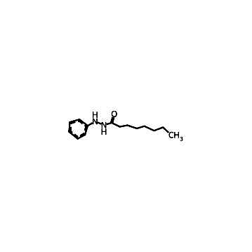 CCCCCCCC(=O)NNc1ccccc1